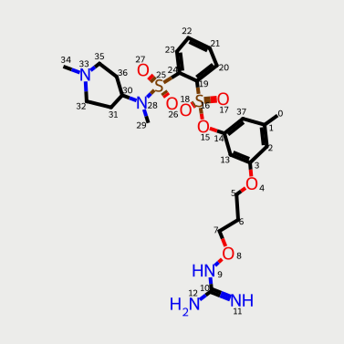 Cc1cc(OCCCONC(=N)N)cc(OS(=O)(=O)c2ccccc2S(=O)(=O)N(C)C2CCN(C)CC2)c1